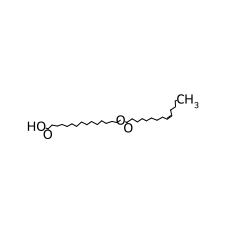 CCCC/C=C\CCCCCCCC(=O)OCCCCCCCCCCCCCCC(=O)O